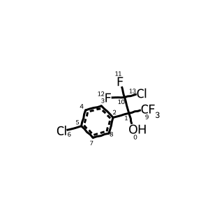 OC(c1ccc(Cl)cc1)(C(F)(F)F)C(F)(F)Cl